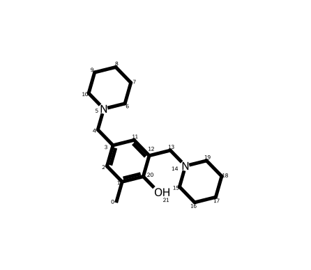 Cc1cc(CN2CCCCC2)cc(CN2CCCCC2)c1O